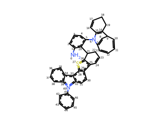 Nc1cccc(N2C3=CC(C=CC=C3)C3=C2C=CCC3)c1C1CC=Cc2c1sc1c2ccc2c1c1ccccc1n2-c1ccccc1